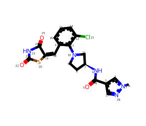 Cn1cc(C(=O)N[C@H]2CCN(c3c(Cl)cccc3C=C3SC(=O)NC3=O)C2)cn1